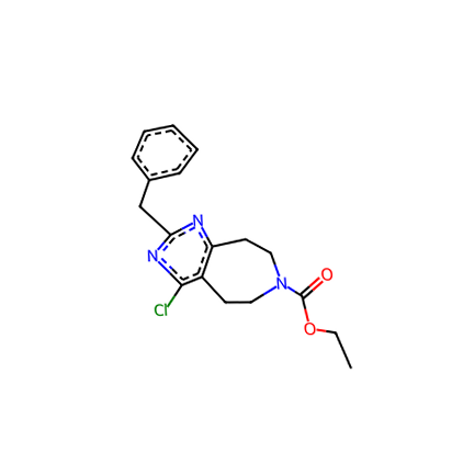 CCOC(=O)N1CCc2nc(Cc3ccccc3)nc(Cl)c2CC1